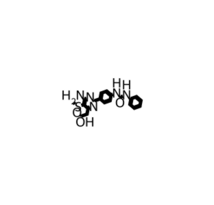 CSc1c(N)nc(-c2ccc(NC(=O)Nc3ccccc3)cc2)nc1CC(=O)O